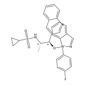 C[C@H](NS(=O)(=O)C1CC1)[C@H](O[N+]1(c2ccc(F)cc2)N=Cc2ccccc21)c1cnc2ccccc2c1